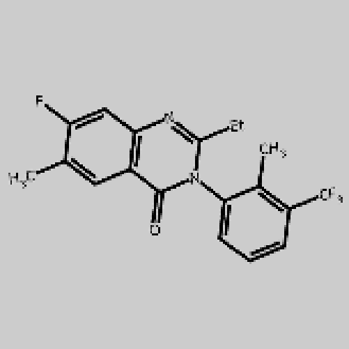 CCc1nc2cc(F)c(C)cc2c(=O)n1-c1cccc(C(F)(F)F)c1C